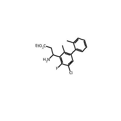 CCOC(=O)CC(N)c1c(C)c(-c2ccccc2C)cc(Cl)c1F